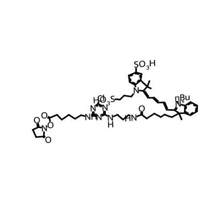 CCCC[N+]1=C(/C=C/C=C/C=C2/N(CCCS(=O)(=O)O)c3ccc(S(=O)(=O)O)cc3C2(C)C)C(C)(CCCCCC(=O)NCCCNc2nc(Cl)nc(NCCCCCC(=O)ON3C(=O)CCC3=O)n2)c2ccccc21